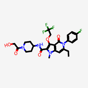 CCc1cc2c(c(OCC(F)(F)F)c(C(=O)NC3CCN(C(=O)CO)CC3)n2C)c(=O)n1-c1ccc(F)cc1